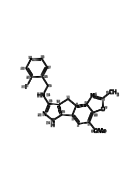 COc1cc2c(c3nc(C)oc13)Cc1c(NCc3ccccc3F)n[nH]c1-2